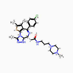 CC1=NNC2[C@@H](CC(=O)NCCCN3CCN(C)CC3)N=C(c3ccc(Cl)cc3)c3c(sc(C)c3C)N12